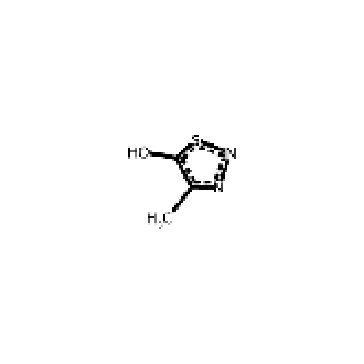 Cc1nnsc1O